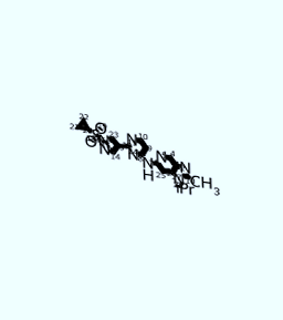 Cc1nc2cnc(Nc3ccnc(-c4cnn(S(=O)(=O)C5CC5)c4)n3)cc2n1C(C)C